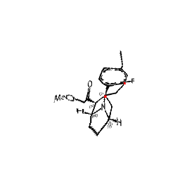 COC(=O)[C@H]1[C@@H](c2ccc(C)cc2)C[C@@H]2CC[C@H]1N2CCCF